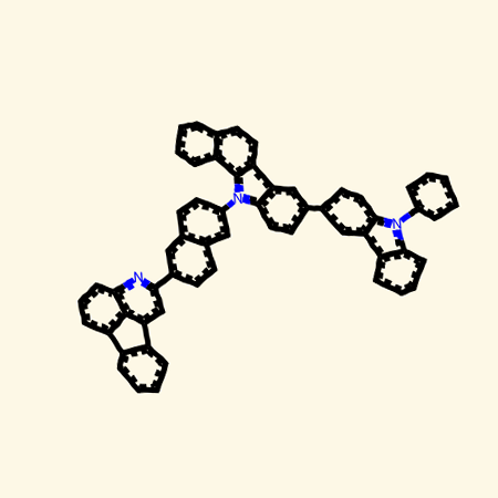 c1ccc(-n2c3ccccc3c3cc(-c4ccc5c(c4)c4ccc6ccccc6c4n5-c4ccc5cc(-c6cc7c8c(cccc8n6)-c6ccccc6-7)ccc5c4)ccc32)cc1